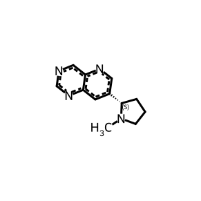 CN1CCC[C@H]1c1cnc2cncnc2c1